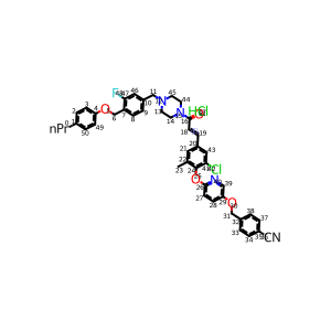 CCCc1ccc(OCc2ccc(CN3CCN(C(=O)/C=C/c4cc(C)c(Oc5ccc(OCc6ccc(C#N)cc6)cn5)c(Cl)c4)CC3)cc2F)cc1.Cl